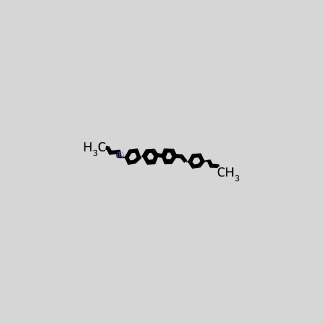 CCC/C=C/[C@H]1CC[C@H](c2ccc(-c3ccc(CC[C@H]4CC[C@H](CCCC)CC4)cc3)cc2)CC1